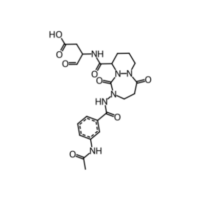 CC(=O)Nc1cccc(C(=O)NN2CCC(=O)N3CCCC(C(=O)NC(C=O)CC(=O)O)N3C2=O)c1